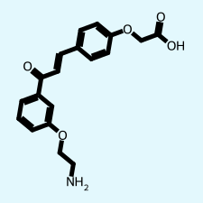 NCCOc1cccc(C(=O)C=Cc2ccc(OCC(=O)O)cc2)c1